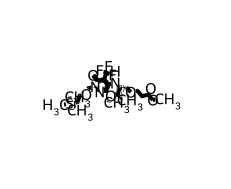 COC(=O)CCOC[C@@H](Nc1cnn(COCC[Si](C)(C)C)c(=O)c1C(F)(F)F)[C@@H](C)OC